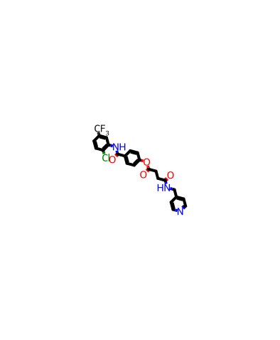 O=C(CCC(=O)Oc1ccc(C(=O)Nc2cc(C(F)(F)F)ccc2Cl)cc1)NCc1ccncc1